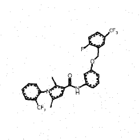 Cc1cc(C(=O)Nc2cccc(OCc3cc(C(F)(F)F)ccc3F)c2)c(C)n1-c1ccccc1C(F)(F)F